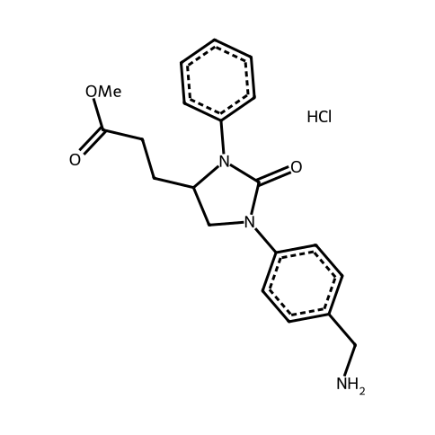 COC(=O)CCC1CN(c2ccc(CN)cc2)C(=O)N1c1ccccc1.Cl